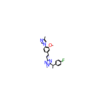 COc1cc(/C=C/c2nc(C(C)c3ccc(F)cc3)n(C)n2)ccc1-n1cnc(C)c1